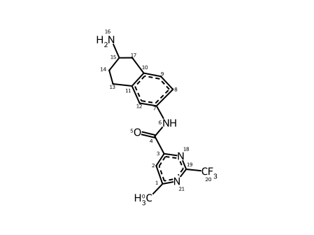 Cc1cc(C(=O)Nc2ccc3c(c2)CCC(N)C3)nc(C(F)(F)F)n1